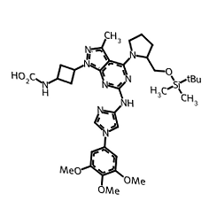 COc1cc(-n2cnc(Nc3nc(N4CCCC4CO[Si](C)(C)C(C)(C)C)c4c(C)nn(C5CC(NC(=O)O)C5)c4n3)c2)cc(OC)c1OC